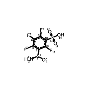 N[S+]([O-])c1c(F)c(F)c(F)c(S(=O)(=O)O)c1F